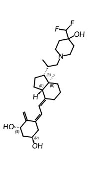 C=C1C(=CC=C2CCC[C@]3(C)[C@@H](C(C)CN4CCC(O)(C(F)F)CC4)CC[C@@H]23)C[C@@H](O)C[C@@H]1O